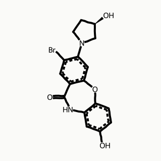 O=C1Nc2cc(O)ccc2Oc2cc(N3CC[C@@H](O)C3)c(Br)cc21